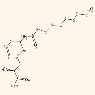 N[C@@H](Cc1cccc(NC(=O)CCCCCCCCCl)c1)C(=O)O